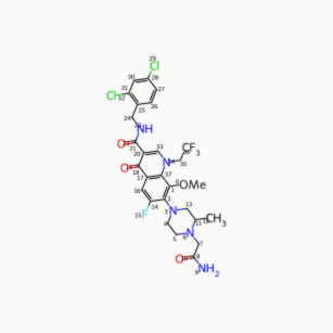 COc1c(N2CCN(CC(N)=O)C(C)C2)c(F)cc2c(=O)c(C(=O)NCc3ccc(Cl)cc3Cl)cn(CC(F)(F)F)c12